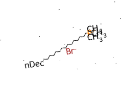 CCCCCCCCCCCCCCCCCCCCCCCCC[P+](C)(C)C.[Br-]